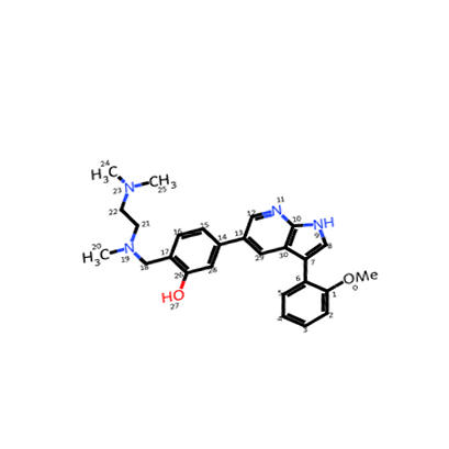 COc1ccccc1-c1c[nH]c2ncc(-c3ccc(CN(C)CCN(C)C)c(O)c3)cc12